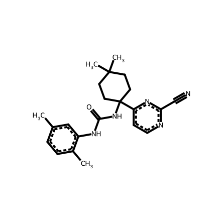 Cc1ccc(C)c(NC(=O)NC2(c3ccnc(C#N)n3)CCC(C)(C)CC2)c1